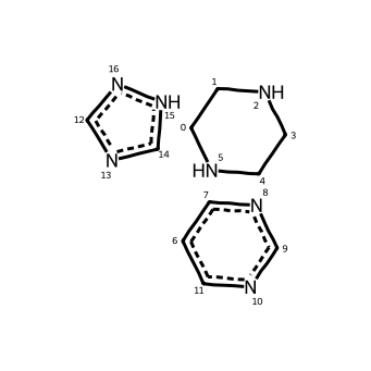 C1CNCCN1.c1cncnc1.c1nc[nH]n1